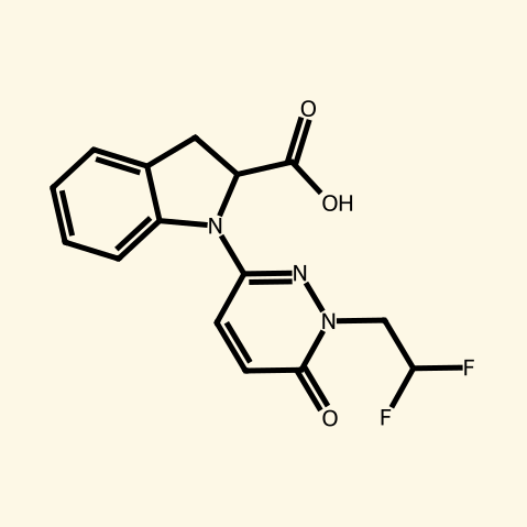 O=C(O)C1Cc2ccccc2N1c1ccc(=O)n(CC(F)F)n1